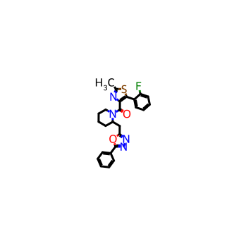 Cc1nc(C(=O)N2CCCCC2Cc2nnc(-c3ccccc3)o2)c(-c2ccccc2F)s1